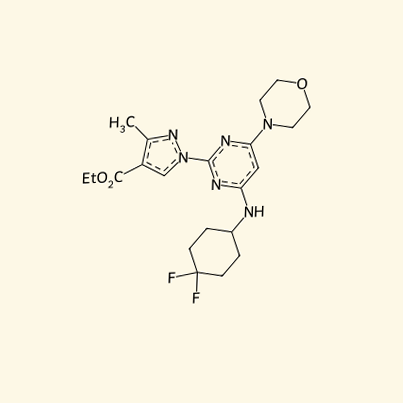 CCOC(=O)c1cn(-c2nc(NC3CCC(F)(F)CC3)cc(N3CCOCC3)n2)nc1C